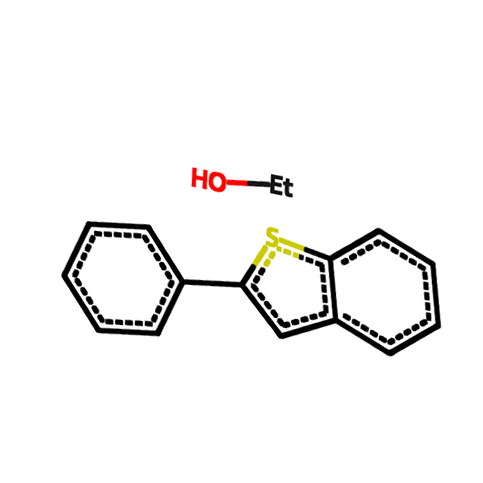 CCO.c1ccc(-c2cc3ccccc3s2)cc1